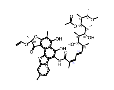 C=CO[C@@]1(C)Oc2c(C)c(O)c3c(O)c(NC(=O)/C(C)=C\C=C\[C@H](C)[C@H](O)[C@@H](C)[C@@H](O)[C@@H](C)[C@H](OC(C)=O)[C@@H](C)[C@H](C)OC)c4c(nc5cc(C)ccn54)c3c2C1=O